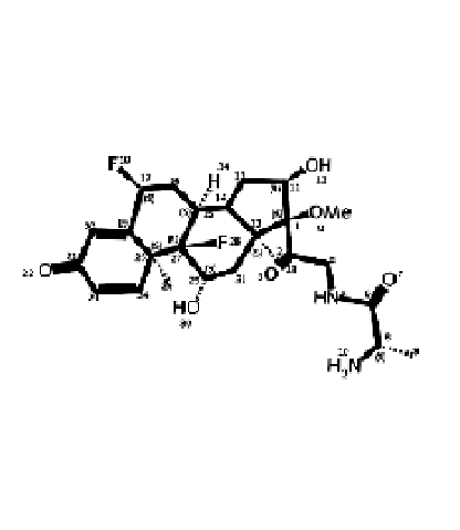 CO[C@]1(C(=O)CNC(=O)[C@H](C)N)[C@H](O)CC2[C@@H]3C[C@H](F)C4=CC(=O)C=C[C@]4(C)[C@@]3(F)[C@@H](O)C[C@@]21C